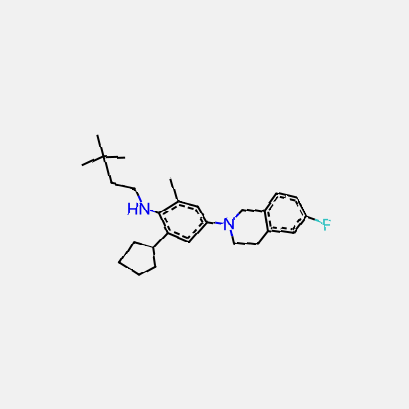 Cc1cc(N2CCc3cc(F)ccc3C2)cc(C2CCCC2)c1NCCC(C)(C)C